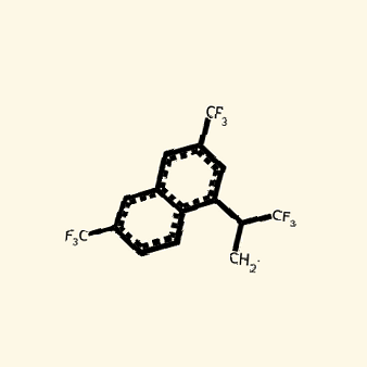 [CH2]C(c1cc(C(F)(F)F)cc2cc(C(F)(F)F)ccc12)C(F)(F)F